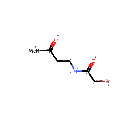 CNC(=O)CCNC(=O)CBr